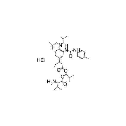 CCC(CC(=O)OC(OC(=O)C(N)C(C)C)C(C)C)c1ccc(N(CC(C)C)CC(C)C)c(NC(=O)Nc2ccc(C)cc2)c1.Cl